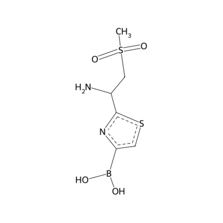 CS(=O)(=O)CC(N)c1nc(B(O)O)cs1